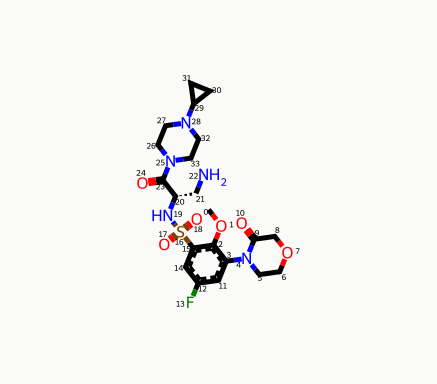 COc1c(N2CCOCC2=O)cc(F)cc1S(=O)(=O)N[C@@H](CN)C(=O)N1CCN(C2CC2)CC1